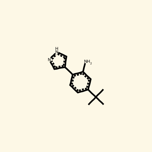 CC(C)(C)c1ccc(-c2cn[nH]c2)c(N)c1